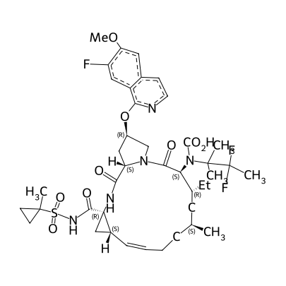 CC[C@@H]1C[C@@H](C)CCC=C[C@@H]2C[C@@]2(C(=O)NS(=O)(=O)C2(C)CC2)NC(=O)[C@@H]2C[C@@H](Oc3nccc4cc(OC)c(F)cc34)CN2C(=O)[C@H]1N(C(=O)O)C(C)(C)C(C)(F)F